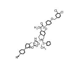 CC[C@@H](c1ccccc1)N1Cc2cc3c(cc2C[C@H]1C(=O)N[C@@H](Cc1ccc(-c2ccc(C#N)cc2)cc1)C(=O)O)N(C)C(=O)[C@@H](c1ccc(OCc2ccc(Cl)c(Cl)c2)cc1)O3